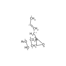 C=CC.CC(=O)O.CC(=O)OO.CC1CO1